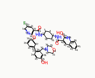 O=C(NC1CCC(NC(=O)c2cc(F)cnc2Oc2cccc(-c3ccc(O)cc3CN3CCOCC3)c2)CC1)c1cc2ccccc2nc1O